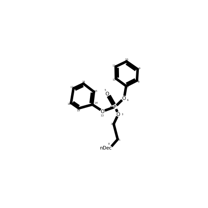 CCCCCCCCCCCCOP(=O)(Oc1ccccc1)Oc1ccccc1